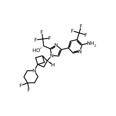 Nc1ncc(-c2cn([C@@H]3CC4(N5CCC(F)(F)CC5)CC3C4)c([C@H](O)C(F)(F)F)n2)cc1C(F)(F)F